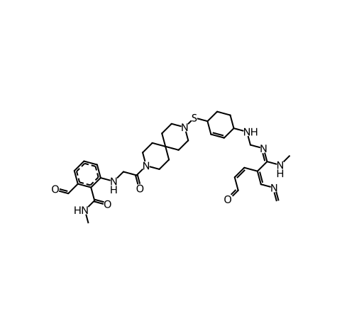 C=N/C=C(/C=C\C=O)C(=N/CNC1C=CC(SN2CCC3(CC2)CCN(C(=O)CNc2cccc(C=O)c2C(=O)NC)CC3)CC1)\NC